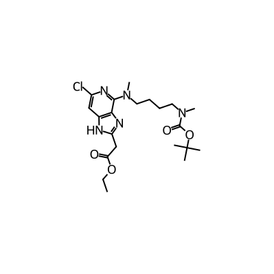 CCOC(=O)Cc1nc2c(N(C)CCCCN(C)C(=O)OC(C)(C)C)nc(Cl)cc2[nH]1